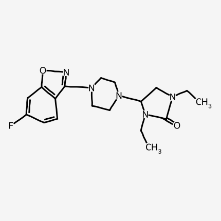 CCN1CC(N2CCN(c3noc4cc(F)ccc34)CC2)N(CC)C1=O